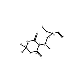 C=C[C@@H]1C(C)[C@H]1[C@@H](C)N1C(=N)NC(C)(C)CC1=O